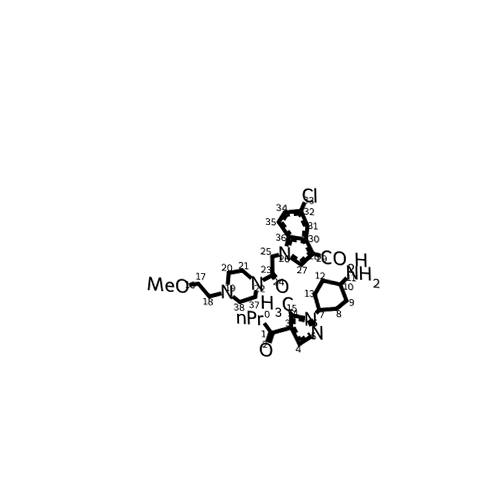 CCCC(=O)c1cnn(C2CCC(N)CC2)c1C.COCCN1CCN(C(=O)Cn2cc(C(=O)O)c3cc(Cl)ccc32)CC1